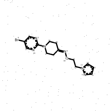 Brc1cnc(N2CCC(=NOCCn3cccn3)CC2)nc1